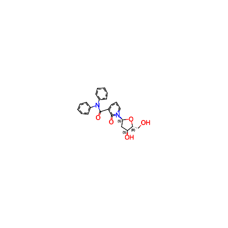 O=C(c1cccn([C@@H]2C[C@H](O)[C@@H](CO)O2)c1=O)N(c1ccccc1)c1ccccc1